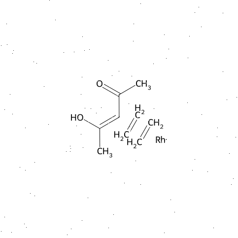 C=C.C=C.CC(=O)/C=C(/C)O.[Rh]